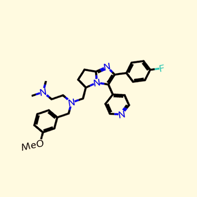 COc1cccc(CN(CCN(C)C)CC2CCc3nc(-c4ccc(F)cc4)c(-c4ccncc4)n32)c1